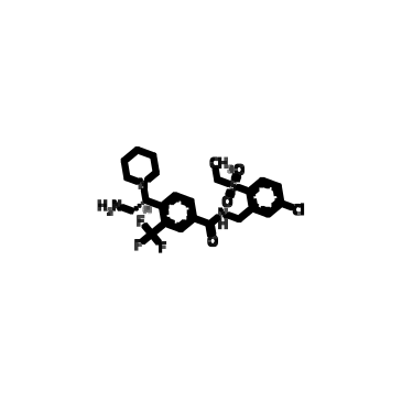 CCS(=O)(=O)c1ccc(Cl)cc1CNC(=O)c1ccc([C@H](CN)N2CCCCC2)c(C(F)(F)F)c1